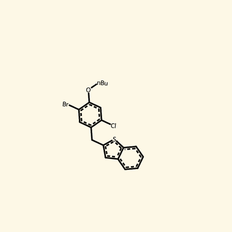 CCCCOc1cc(Cl)c(Cc2cc3ccccc3s2)cc1Br